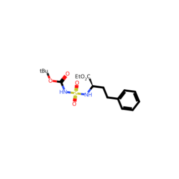 CCOC(=O)[C@@H](CCc1ccccc1)NS(=O)(=O)NC(=O)OC(C)(C)C